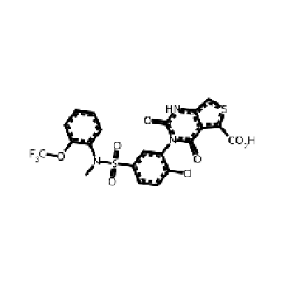 CN(c1ccccc1OC(F)(F)F)S(=O)(=O)c1ccc(Cl)c(-n2c(=O)[nH]c3csc(C(=O)O)c3c2=O)c1